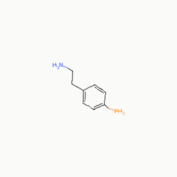 NCCc1ccc(P)cc1